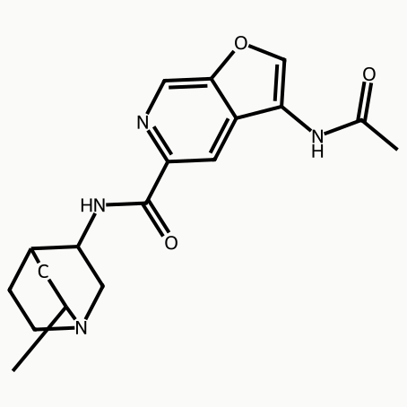 CC(=O)Nc1coc2cnc(C(=O)NC3CN4CCC3CC4C)cc12